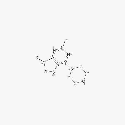 Cc1nc2c(c(N3CCOCC3)n1)SCC2C